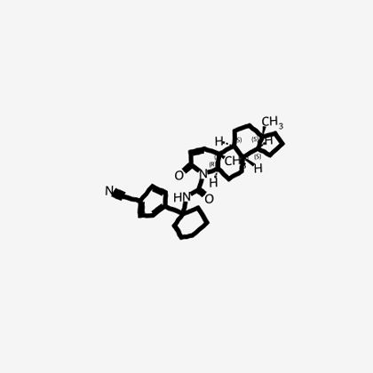 C[C@@]12CCC[C@H]1[C@@H]1CC[C@H]3N(C(=O)NC4(c5ccc(C#N)cc5)CCCCC4)C(=O)C=C[C@]3(C)[C@H]1CC2